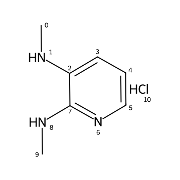 CNc1cccnc1NC.Cl